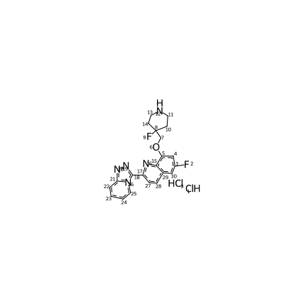 Cl.Cl.Fc1cc(OCC2(F)CCNCC2)c2nc(-c3nnc4ccccn34)ccc2c1